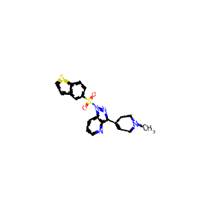 CN1CC=C(c2nn(S(=O)(=O)c3ccc4sccc4c3)c3cccnc23)CC1